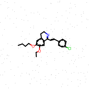 CCCCOc1cc2c(cc1OCC)C(C=Cc1ccc(Cl)cc1)=NCC2